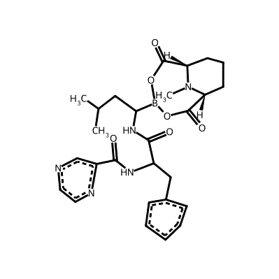 CC(C)CC(NC(=O)C(Cc1ccccc1)NC(=O)c1cnccn1)B1OC(=O)[C@H]2CCC[C@@H](C(=O)O1)N2C